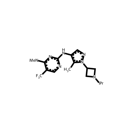 CNc1nc(Nc2cnn(C3CN(C(C)C)C3)c2C)ncc1C(F)(F)F